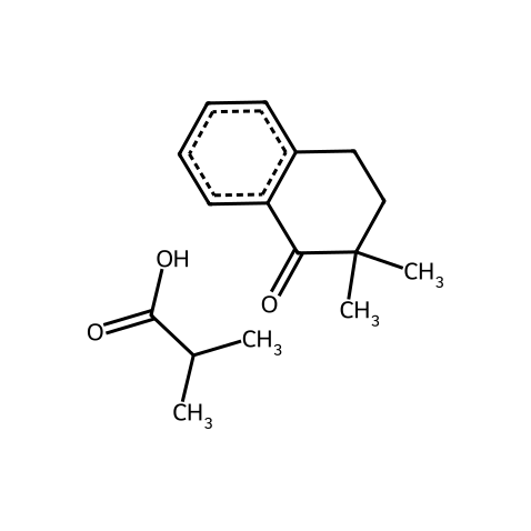 CC(C)C(=O)O.CC1(C)CCc2ccccc2C1=O